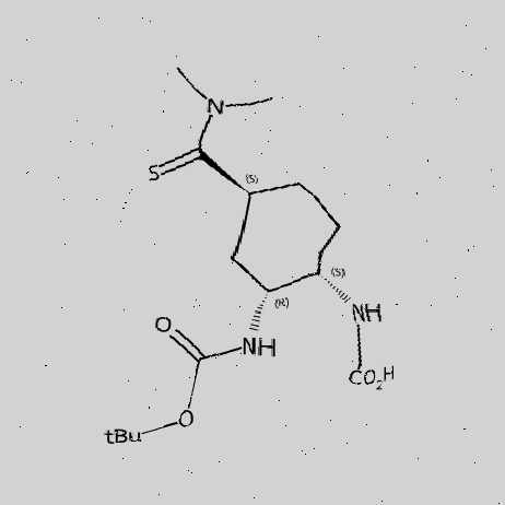 CN(C)C(=S)[C@H]1CC[C@H](NC(=O)O)[C@H](NC(=O)OC(C)(C)C)C1